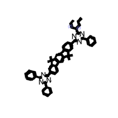 C=C/C=C(\C=C/C)c1nc(-c2ccccc2)nc(-c2ccc3c(c2)C(C)(C)c2cc4c(cc2-3)C(C)(C)c2cc(-c3nc(-c5ccccc5)nc(-c5ccccc5)n3)ccc2-4)n1